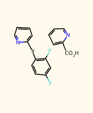 Fc1cc[c]([Ir][c]2ccccn2)c(F)c1.O=C(O)c1ccccn1